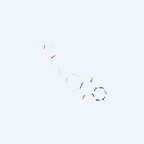 CC(C)(C)OC(=O)NCCC1CCC2=C(CC1)C(=O)c1ccccc1C2=O